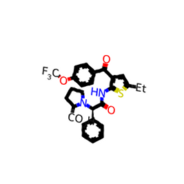 CCc1cc(C(=O)c2ccc(OC(F)(F)F)cc2)c(NC(=O)[C@@H](c2ccccc2)N2CCCC2C(=O)O)s1